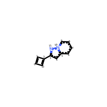 C1=CC(c2cc3ccccn3n2)=C1